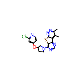 Cc1nnc2sc3c(N4CCC(Oc5ccnc(Cl)c5)C4)ncnc3c2c1C